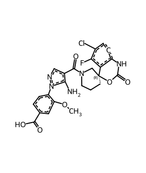 COc1cc(C(=O)O)ccc1-n1ncc(C(=O)N2CCC[C@@]3(C2)OC(=O)Nc2ccc(Cl)c(F)c23)c1N